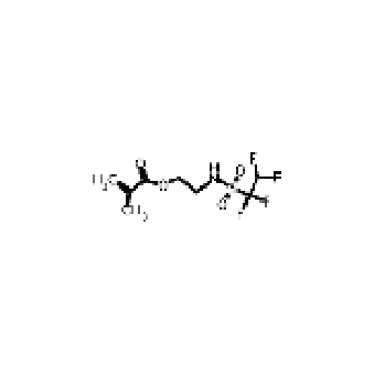 C=C(C)C(=O)OCCNS(=O)(=O)C(F)(F)C(F)F